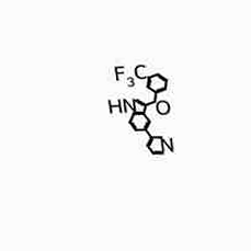 O=C(c1cccc(C(F)(F)F)c1)c1c[nH]c2ccc(-c3cccnc3)cc12